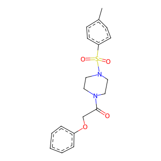 Cc1ccc(S(=O)(=O)N2CCN(C(=O)COc3ccccc3)CC2)cc1